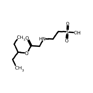 CCC(CC)OC(=O)CNCCS(=O)(=O)O